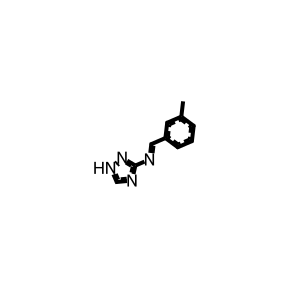 Cc1cccc(/C=N/c2nc[nH]n2)c1